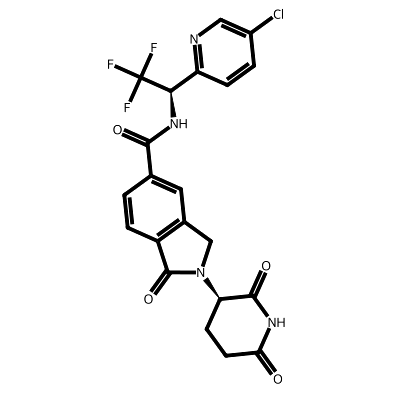 O=C1CC[C@@H](N2Cc3cc(C(=O)N[C@H](c4ccc(Cl)cn4)C(F)(F)F)ccc3C2=O)C(=O)N1